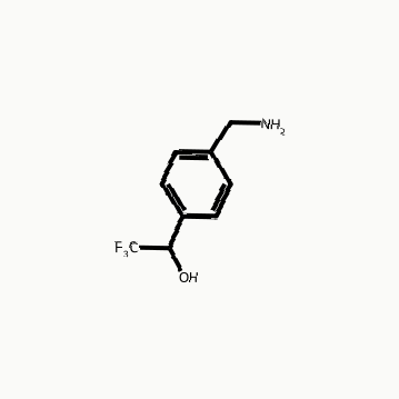 NCc1ccc(C(O)C(F)(F)F)cc1